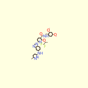 COc1ccc(CNC(=O)c2ccc(-n3cnc4cc(Nc5ccc(C)nn5)ccc43)nc2OC(C)C(F)F)c(OC)c1